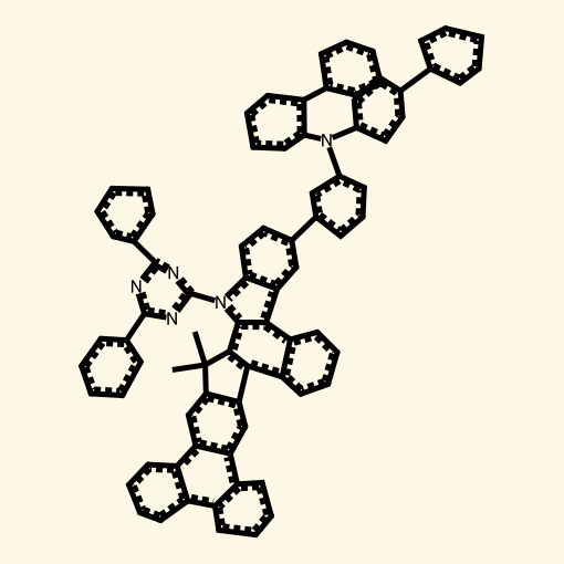 CC1(C)c2cc3c4ccccc4c4ccccc4c3cc2-c2c1c1c(c3ccccc23)c2cc(-c3cccc(N(c4ccc(-c5ccccc5)cc4)c4ccccc4-c4ccccc4)c3)ccc2n1-c1nc(-c2ccccc2)nc(-c2ccccc2)n1